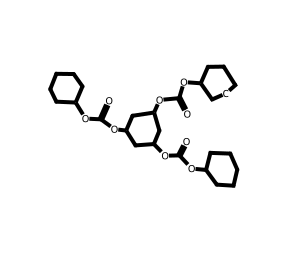 O=C(OC1CCCCC1)OC1CC(OC(=O)OC2CCCCC2)CC(OC(=O)OC2CCCCC2)C1